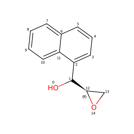 OC(c1cccc2ccccc12)[C@H]1CO1